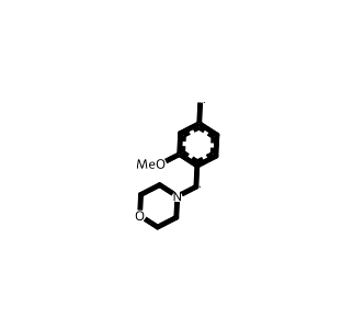 [CH2]c1ccc([CH]N2CCOCC2)c(OC)c1